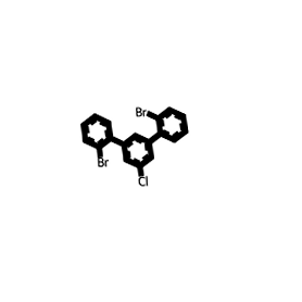 Clc1cc(-c2ccccc2Br)cc(-c2ccccc2Br)c1